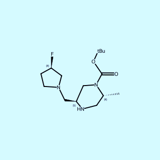 C[C@@H]1CN[C@@H](CN2CC[C@@H](F)C2)CN1C(=O)OC(C)(C)C